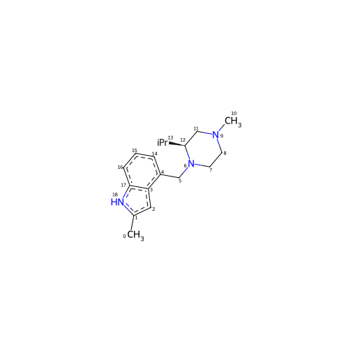 Cc1cc2c(CN3CCN(C)C[C@@H]3C(C)C)cccc2[nH]1